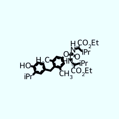 CCOC(=O)[C@@H](NP(=O)(N[C@H](C(=O)OCC)C(C)C)Oc1cc(C)c(Cc2ccc(O)c(C(C)C)c2)c(C)c1)C(C)C